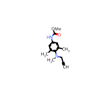 C#CCN(C)c1c(C)cc(NC(=O)OC)cc1C